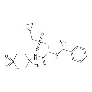 N#CC1(NC(=O)[C@H](CS(=O)(=O)CC2CC2)N[C@@H](c2ccccc2)C(F)(F)F)CCS(=O)(=O)CC1